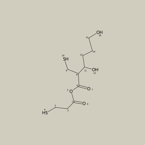 O=C(CCS)OC(=O)C(CS)C(O)CCCO